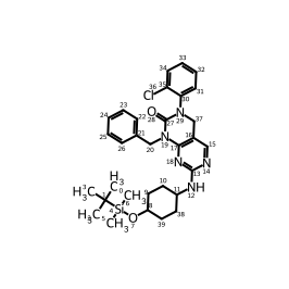 CC(C)(C)[Si](C)(C)OC1CCC(Nc2ncc3c(n2)N(Cc2ccccc2)C(=O)N(c2ccccc2Cl)C3)CC1